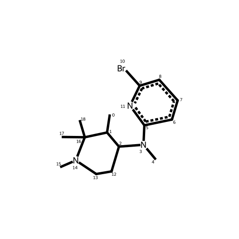 CC1C(N(C)c2cccc(Br)n2)CCN(C)C1(C)C